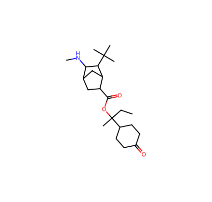 CCC(C)(OC(=O)C1CC2CC1C(C(C)(C)C)C2NC)C1CCC(=O)CC1